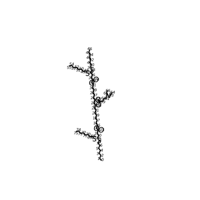 CCCCCCCCSC(CCC(=O)OCCCCCCCCC(CCCCCCCCOC(=O)CCC(SCCCCCCCC)SCCCCCCCC)OC(=O)CCCN(CC)CC)SCCCCCCCC